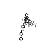 CC(C)(C)NC(=O)O[C@@H](Cc1ccc(OCc2ccc(-c3ccccc3)cc2)cc1)C(=O)NS(=O)(=O)c1ccccc1